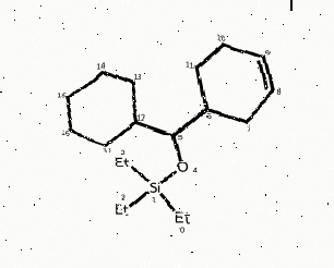 CC[Si](CC)(CC)OC(C1CC=CCC1)C1CCCCC1